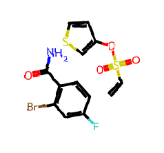 C=CS(=O)(=O)Oc1ccsc1.NC(=O)c1ccc(F)cc1Br